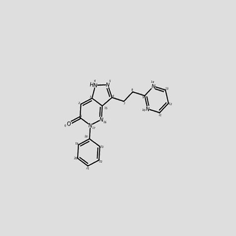 O=c1cc2[nH]nc(CCc3ncccn3)c2nn1-c1ccccc1